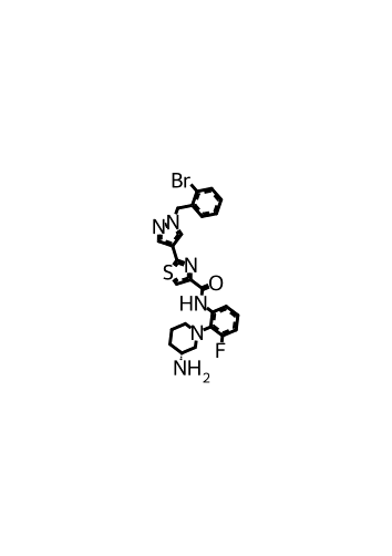 N[C@@H]1CCCN(c2c(F)cccc2NC(=O)c2csc(-c3cnn(Cc4ccccc4Br)c3)n2)C1